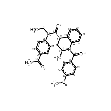 CCN(C(=O)[C@H]1C[C@H](C)N(C(=O)c2ccc(OC)cc2)c2ccccc21)c1ccc(C(N)=O)cc1